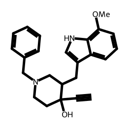 C#CC1(O)CCN(Cc2ccccc2)CC1Cc1c[nH]c2c(OC)cccc12